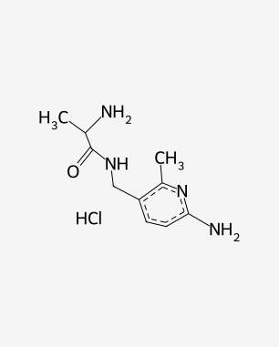 Cc1nc(N)ccc1CNC(=O)C(C)N.Cl